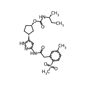 CC[C@H](C)NC(=O)O[C@@H]1CC[C@H](c2cc(NC(=O)Cc3cc(C)ccc3S(C)(=O)=O)n[nH]2)C1